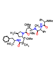 C=C1CC([C@H](OC)[C@@H](C)C(=O)NC(Cc2ccccc2)C(=O)O)N(C(=O)C[C@@H](OC)[C@H]([C@@H](C)CC)N(C)C(=O)C(NC(=O)C(NC)C(C)C)C(C)C)C1